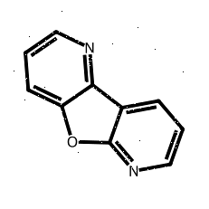 c1cnc2c(c1)oc1ncccc12